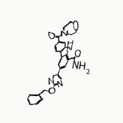 NC(=O)c1cc(-c2cnc(OCc3ccccc3)nc2)cc2c1[nH]c1cc(C(=O)N3CCOCC3)ccc12